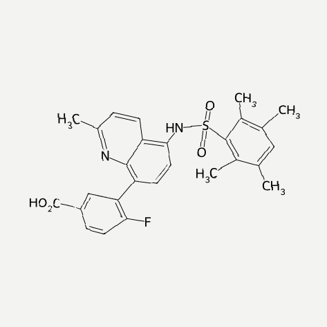 Cc1ccc2c(NS(=O)(=O)c3c(C)c(C)cc(C)c3C)ccc(-c3cc(C(=O)O)ccc3F)c2n1